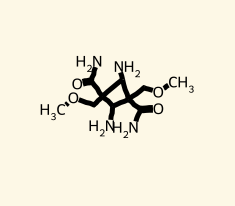 COCC1(C(N)=O)C(N)C(COC)(C(N)=O)C1N